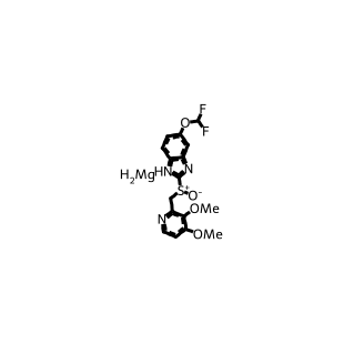 COc1ccnc(C[S+]([O-])c2nc3cc(OC(F)F)ccc3[nH]2)c1OC.[MgH2]